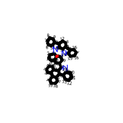 c1ccc(-n2c3ccccc3c3ccc4c5ccccc5n(-c5cccc(-c6nc7ccccc7c7c8ccccc8c8ccccc8c67)c5)c4c32)cc1